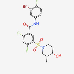 CC1CN(S(=O)(=O)c2cc(C(=O)Nc3ccc(F)c(Br)c3)c(F)cc2F)CCC1O